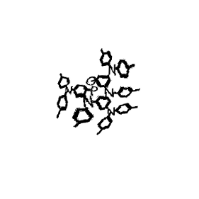 Cc1ccc(N(c2ccc(C)cc2)c2cc3c4c(c2)N(c2ccc(C)cc2)c2cc(N(c5ccc(C)cc5)c5ccc(C)cc5)cc5c2P4c2c(cc(N(c4ccc(C)cc4)c4ccc(C)cc4)cc2N5c2ccc(C)cc2)O3)cc1